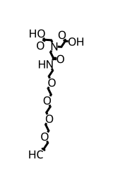 C#CCOCCOCCOCCOCCNC(=O)CN(CC(=O)O)CC(=O)O